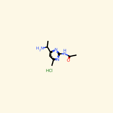 CC(=O)Nc1nc(C)cc(C(C)N)n1.Cl